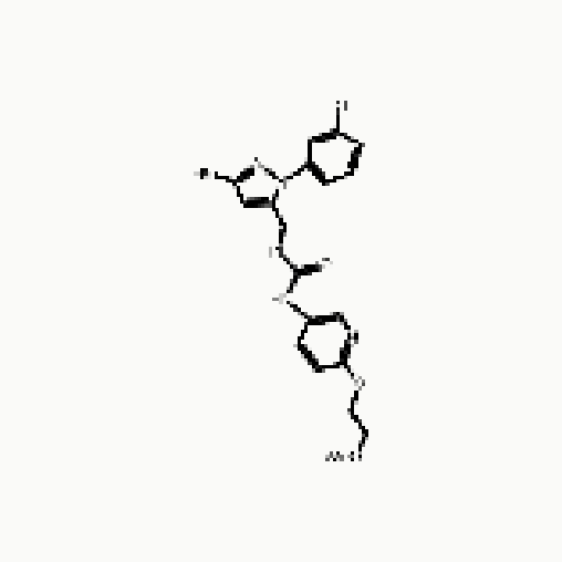 COCCOc1ccc(NC(=O)NCc2cc(C(C)(C)C)nn2-c2cccc(Cl)c2)cn1